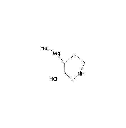 C[C](C)(C)[Mg][CH]1CCNCC1.Cl